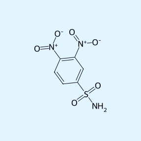 NS(=O)(=O)c1ccc([N+](=O)[O-])c([N+](=O)[O-])c1